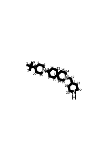 CC(C)(C)C1CCN(C2CCC3(CC2)CCN(CC2CCNCC2)CC3)CC1